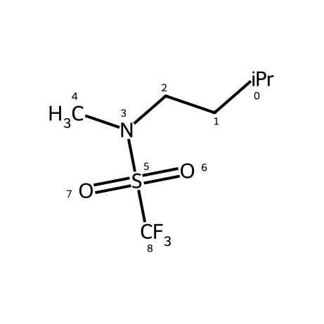 CC(C)CCN(C)S(=O)(=O)C(F)(F)F